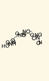 COc1nc2c(OCc3c(C)ccc(N(C)C(=O)CNC(=O)CCc4ccc(NC(=O)O)nc4)c3C)cccc2n1Cc1ccccn1